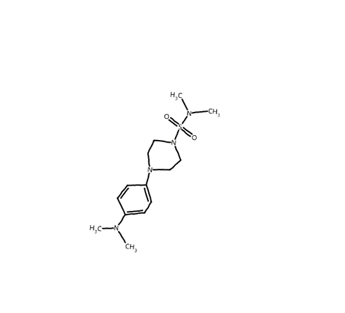 CN(C)c1ccc(N2CCN(S(=O)(=O)N(C)C)CC2)cc1